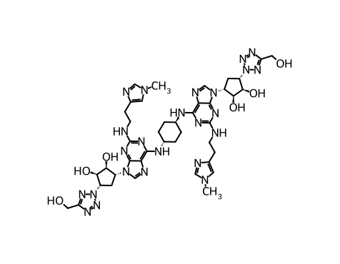 Cn1cnc(CCNc2nc(N[C@H]3CC[C@H](Nc4nc(NCCc5cn(C)cn5)nc5c4ncn5[C@@H]4C[C@H](n5nnc(CO)n5)[C@@H](O)[C@H]4O)CC3)c3ncn([C@@H]4C[C@H](n5nnc(CO)n5)[C@@H](O)[C@H]4O)c3n2)c1